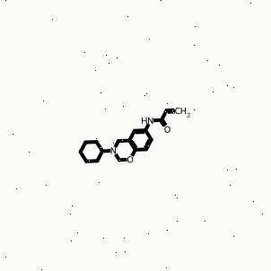 C=CC(=O)Nc1ccc2c(c1)CN(C1CCCCC1)CO2